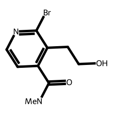 CNC(=O)c1ccnc(Br)c1CCO